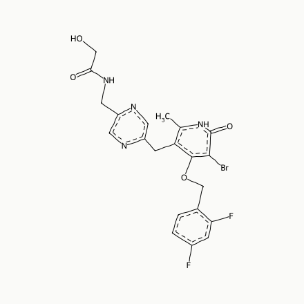 Cc1[nH]c(=O)c(Br)c(OCc2ccc(F)cc2F)c1Cc1cnc(CNC(=O)CO)cn1